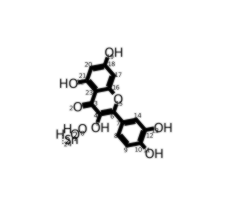 O.O.O=c1c(O)c(-c2ccc(O)c(O)c2)oc2cc(O)cc(O)c12.[Sn]